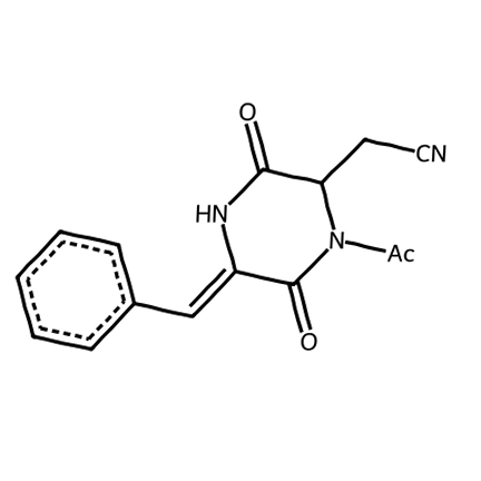 CC(=O)N1C(=O)C(=Cc2ccccc2)NC(=O)C1CC#N